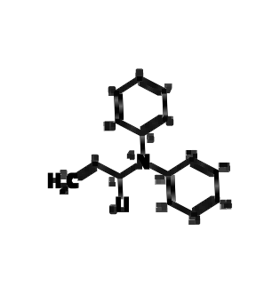 [Li][CH](C=C)N(c1ccccc1)c1ccccc1